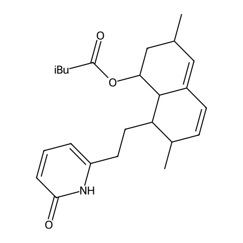 CCC(C)C(=O)OC1CC(C)C=C2C=CC(C)C(CCc3cccc(=O)[nH]3)C21